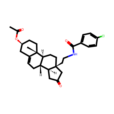 CC(=O)O[C@H]1CC[C@@]2(C)C(=CC[C@H]3[C@@H]4CC(=O)C[C@@]4(CCNC(=O)c4ccc(Cl)cc4)CC[C@@H]32)C1